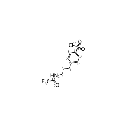 O=C(NCCCc1ccc(S(=O)(=O)Cl)cc1)C(F)(F)F